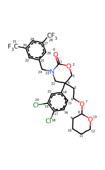 O=C1OCC(CCOC2CCCCO2)(c2ccc(Cl)c(Cl)c2)CN1Cc1cc(C(F)(F)F)cc(C(F)(F)F)c1